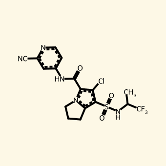 CC(NS(=O)(=O)c1c(Cl)c(C(=O)Nc2ccnc(C#N)c2)n2c1CCC2)C(F)(F)F